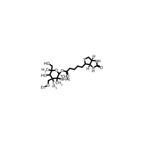 CCOCC1(C)C(O)C(C)(CO)O[C@@](C)(OC(=O)CCCCC2SC[C@@H]3NC(=O)N[C@H]23)C1(C)NC(C)=O